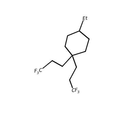 CCC1CCC(CCC(F)(F)F)(CCC(F)(F)F)CC1